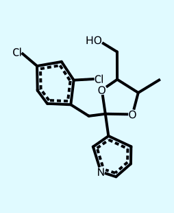 CC1OC(Cc2ccc(Cl)cc2Cl)(c2cccnc2)OC1CO